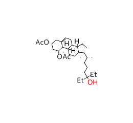 CCC(O)(CC)CCC[C@@H](C)[C@H]1CC[C@H]2[C@@H]3CC=C4C[C@@H](OC(C)=O)C[C@H](OC(C)=O)[C@]4(C)[C@H]3CC[C@]12C